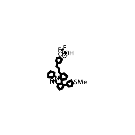 CSc1ccc(-c2ccccc2-c2cccc(CCCc3ccc(OP(=O)(O)C(F)F)cc3)c2-n2nnc3ccccc32)cc1